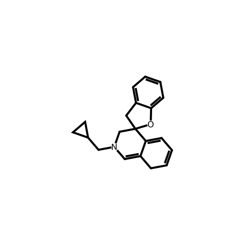 C1=CCC2=CN(CC3CC3)CC3(Cc4ccccc4O3)C2=C1